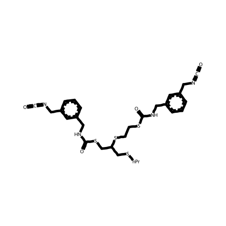 CCCSCC(CSC(=O)NCc1cccc(CN=C=O)c1)SCCSC(=O)NCc1cccc(CN=C=O)c1